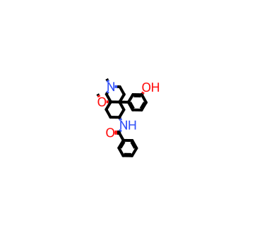 COC12CCC(NC(=O)c3ccccc3)CC1(c1cccc(O)c1)CCN(C)C2